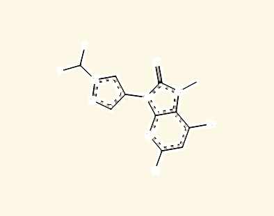 Cn1c(=O)n(-c2cnn(C(F)F)c2)c2nc(Cl)cc(Br)c21